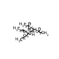 C=CC(=O)OCC(COC(=O)C=C)NC(=O)OC(COCCC)COCCC